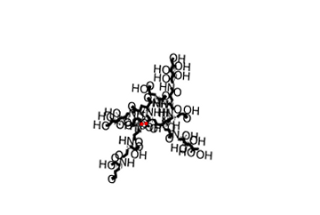 N[C@@H](CCC(=O)NC[C@H](O)[C@@H](O)[C@H](O)[C@H](O)CO)C(=O)N[C@H](CCC(=O)O)C(=O)N[C@@H](CCC(=O)NC[C@H](O)[C@@H](O)[C@H](O)[C@H](O)CO)C(=O)N[C@H](CCC(=O)O)C(=O)N[C@@H](CCC(=O)NC[C@H](O)[C@@H](O)[C@H](O)[C@H](O)CO)C(=O)C[C@H](CSC1CC(=O)N(CCC(=O)N[C@@H](CCC(=O)N[C@@H](CCC=O)C(=O)O)C(=O)O)C1=O)C(=O)O